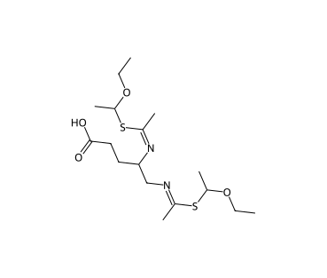 CCOC(C)SC(C)=NCC(CCC(=O)O)N=C(C)SC(C)OCC